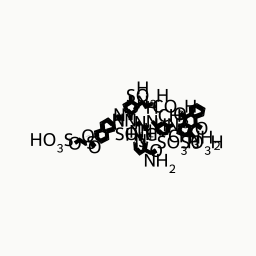 Cc1c(Nc2nc(Nc3cc(NCCC(=O)O)c(S(=O)(=O)O)cc3N=Nc3ccc4cc(S(=O)(=O)CCOS(=O)(=O)O)ccc4c3S(=O)(=O)O)nc(-[n+]3cccc(C(N)=O)c3)n2)c(C)c(S(=O)(=O)O)c(C)c1Nc1cc(S(=O)(=O)O)c(N)c2c1C(=O)c1ccccc1C2=O